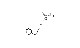 CC(=O)OCCC/C=C/C=C\c1ccccc1